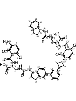 Nc1ccc(Cl)c(C(=O)N[C@@H](CNC(=O)N[C@@H]2CCc3cc(-c4cccc(C5CN(c6ccc(Cl)c(C(=O)N[C@@H](CNC(=O)N[C@@H]7CCc8ccccc87)C(=O)O)c6Cl)C5)c4)ccc32)C(=O)O)c1Cl